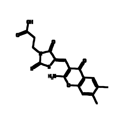 Cc1cc2oc(N)c(C=C3SC(=S)N(CCC(=O)O)C3=O)c(=O)c2cc1C